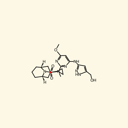 COc1cc(Nc2cc(CO)[nH]n2)nc(N(C)C2C[C@H]3CCC[C@@H](C2)N3S(=O)(=O)C2CC2)n1